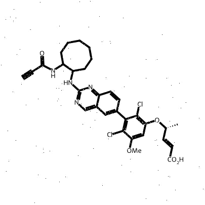 C#CC(=O)NC1CCCCCCC1Nc1ncc2cc(-c3c(Cl)c(OC)cc(O[C@H](C)/C=C/C(=O)O)c3Cl)ccc2n1